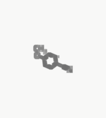 COc1c[c]c(C#N)cc1